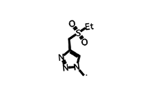 [CH2]n1cc(CS(=O)(=O)CC)nn1